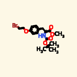 COC(=O)[C@H](Cc1ccc(OCCBr)cc1)NC(=O)OC(C)(C)C